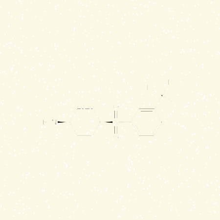 N[C@H]1CC[C@@H](S(=O)(=O)c2cccc(C(F)(F)F)c2)CC1